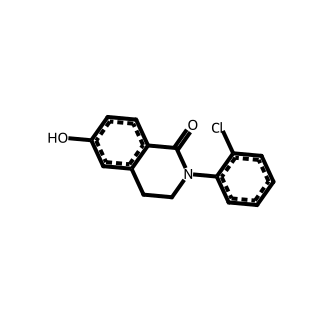 O=C1c2ccc(O)cc2CCN1c1ccccc1Cl